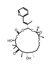 CC(=Cc1ccccn1)[C@@H]1C[C@@H]2O[C@]2(C)CCC[C@H](C)[C@H](O)[C@@H](C)C(=O)C(C)(C)[C@@H](O)CC(=O)O1